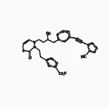 N#Cc1cscc1C#Cc1cccc(CC(O)CCN2C=CSC(=O)N2CCc2ccc(C(=O)O)s2)c1